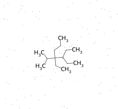 CCCC(CC)([C](CC)CC)C(C)C